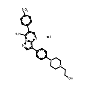 Cl.Nc1c(-c2ccc([N+](=O)[O-])cc2)cnc2c(-c3ccc(N4CCN(CCO)CC4)cc3)cnn12